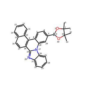 CC1(C)OB(c2ccc3c4c5ccccc5ccc4c4nc5ccccc5n4c3c2)OC1(C)C